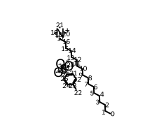 CCCCCCCCCCCCCCCCCC[N+](C)(C)C.Cc1ccc(S(=O)(=O)[O-])cc1